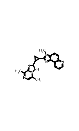 CC1=CN=C(C)C2=NC(C3CC3c3nc4c5cccnc5ccc4n3C)NN12